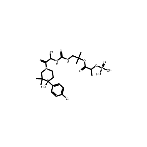 CC(OP(=O)(O)O)C(=O)OC(C)(C)CNC(=O)NC(C(=O)N1CC[C@](O)(c2ccc(Cl)cc2)C(C)(C)C1)C(C)C